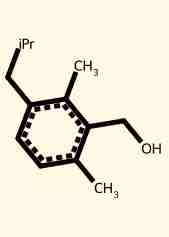 Cc1ccc(CC(C)C)c(C)c1CO